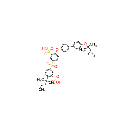 CCCC(C)(C)c1ccc(S(=O)(=O)c2ccc(Oc3ccc(-c4ccc(OC(C)(C)CC)cc4)cc3)c(S(=O)(=O)O)c2)cc1S(=O)(=O)O